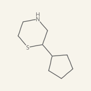 C1CCC(C2CNCCS2)C1